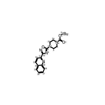 CC(C)(C)OC(=O)N1CCN(c2nc(-c3ccc4ccccc4n3)no2)CC1